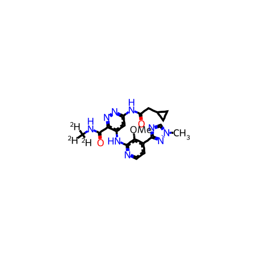 [2H]C([2H])([2H])NC(=O)c1nnc(NC(=O)CC2CC2)cc1Nc1nccc(-c2ncn(C)n2)c1OC